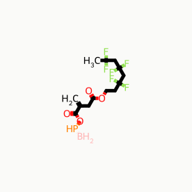 BPOC(=O)C(=C)CC(=O)OCCC(F)(F)CC(F)(F)CC(C)(F)F